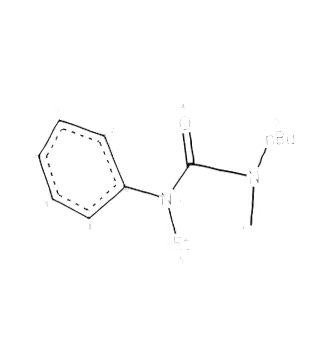 CCCCN(C)C(=O)N(CC)c1ccccc1